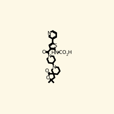 CC1(C)CC2(CCCN(C3CCN(C(=O)c4cc(-c5cccnc5)sc4NC(=O)O)CC3)C2)C(=O)O1